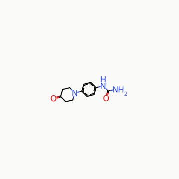 NC(=O)Nc1ccc(N2CCC(=O)CC2)cc1